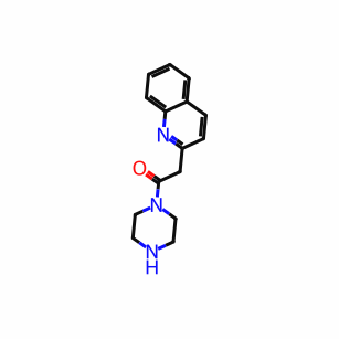 O=C(Cc1ccc2ccccc2n1)N1CCNCC1